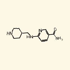 NC(=O)c1ccc(NCC2CCNCC2)nc1